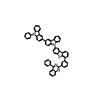 c1ccc(-c2nc(-c3cccc(-c4cccc5c4sc4ccc(-n6c7ccccc7c7cc(-c8ccc9c(c8)c8ccccc8n9-c8ccccc8)ccc76)cc45)c3)nc3ccccc23)cc1